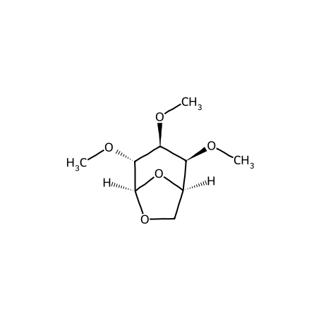 CO[C@H]1[C@@H](OC)[C@H]2CO[C@H](O2)[C@@H]1OC